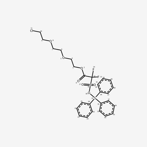 O=C(OCCOCCOCCCl)C(F)(F)S(=O)(=O)OS(c1ccccc1)(c1ccccc1)c1ccccc1